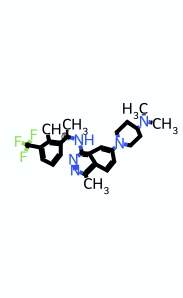 Cc1c([C@@H](C)Nc2nnc(C)c3ccc(N4CCC(N(C)C)CC4)cc23)cccc1C(F)(F)F